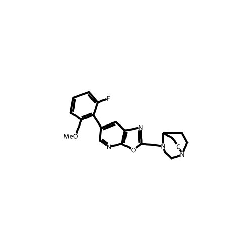 COc1cccc(F)c1-c1cnc2oc(N3CCN4CCC3CC4)nc2c1